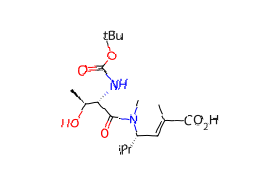 CC(=C[C@H](C(C)C)N(C)C(=O)[C@@H](NC(=O)OC(C)(C)C)[C@H](C)O)C(=O)O